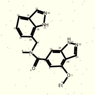 CCOc1cc(C(=O)N(C)Cc2cccc3cn[nH]c23)cc2[nH]ncc12